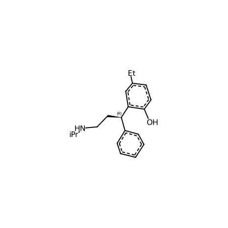 CCc1ccc(O)c([C@H](CCNC(C)C)c2ccccc2)c1